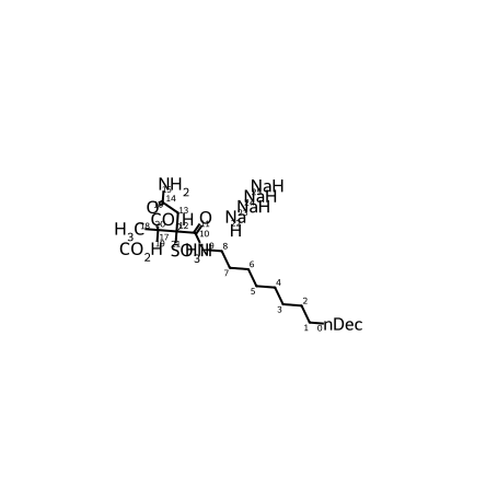 CCCCCCCCCCCCCCCCCCNC(=O)C(CC(N)=O)(C(C)(C(=O)O)C(=O)O)S(=O)(=O)O.[NaH].[NaH].[NaH].[NaH]